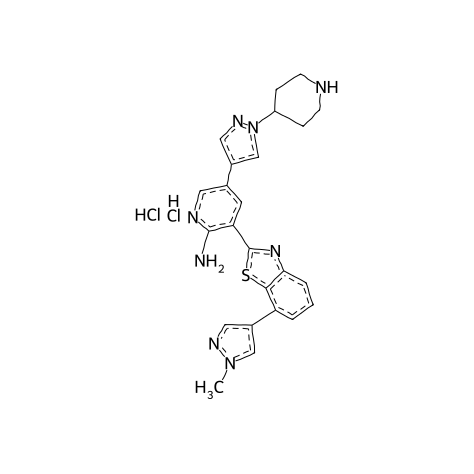 Cl.Cl.Cn1cc(-c2cccc3nc(-c4cc(-c5cnn(C6CCNCC6)c5)cnc4N)sc23)cn1